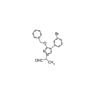 CC(C=O)n1cc(-c2cccc(Br)c2)c(OCc2ccccc2)n1